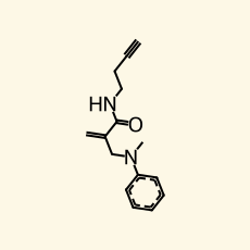 C#CCCNC(=O)C(=C)CN(C)c1ccccc1